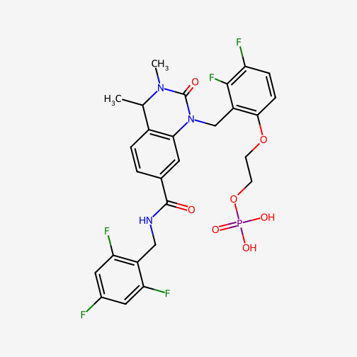 CC1c2ccc(C(=O)NCc3c(F)cc(F)cc3F)cc2N(Cc2c(OCCOP(=O)(O)O)ccc(F)c2F)C(=O)N1C